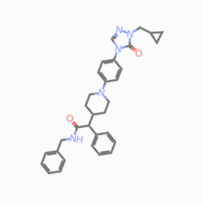 O=C(NCc1ccccc1)C(c1ccccc1)C1CCN(c2ccc(-n3cnn(CC4CC4)c3=O)cc2)CC1